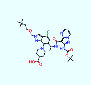 CC(NC(=O)c1c(NC(=O)OC(C)(C)C)nn2cccnc12)c1cc(Cl)c2cn(COCC[Si](C)(C)C)nc2c1N1CCC(C(=O)O)CC1